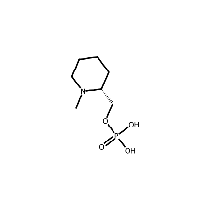 CN1CCCC[C@@H]1COP(=O)(O)O